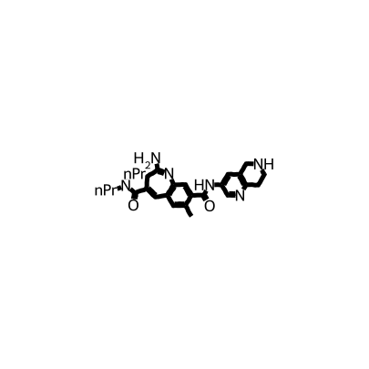 CCCN(CCC)C(=O)C1=Cc2cc(C)c(C(=O)Nc3cnc4c(c3)CNCC4)cc2N=C(N)C1